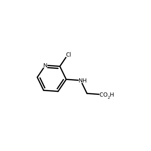 O=C(O)CNc1cccnc1Cl